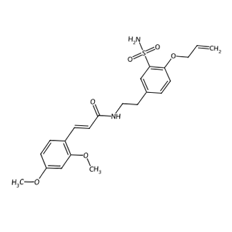 C=CCOc1ccc(CCNC(=O)C=Cc2ccc(OC)cc2OC)cc1S(N)(=O)=O